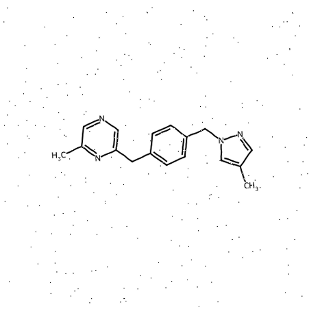 Cc1cnn(Cc2ccc(Cc3cncc(C)n3)cc2)c1